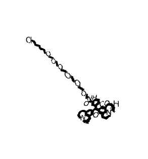 O=C(NCCOCCOCCOCCOCCOCCOCCCCCCCl)c1ccc(C(=O)O)c(C2=c3cc4c5c(c3Oc3c2cc2c6c3CCCN6CCCC2)CCC[N+]=5CCCC4)c1